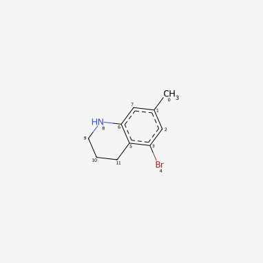 Cc1cc(Br)c2c(c1)NCCC2